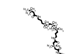 CNC(=O)C[N+](C)(C)CC(=O)NCCC[Si](C)(C)O[Si](C)(C)CO[Si](C)(C)CCCNC(=O)C[N+](C)(C)C